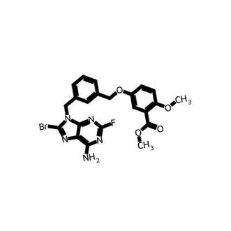 COC(=O)c1cc(OCc2cccc(Cn3c(Br)nc4c(N)nc(F)nc43)c2)ccc1OC